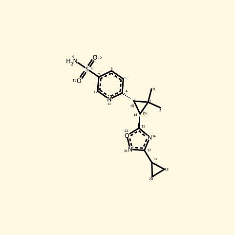 CC1(C)[C@@H](c2ccc(S(N)(=O)=O)cn2)[C@@H]1c1nc(C2CC2)no1